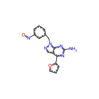 Nc1nc(-c2ccco2)c2cnn(Cc3cccc(N=O)c3)c2n1